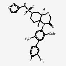 COc1cc(-c2ccc(F)c(C(F)(F)F)c2)c(C(F)(F)F)cc1N1C(=O)CO[C@@H]2CN(S(=O)(=O)Nc3ccon3)CC[C@H]21